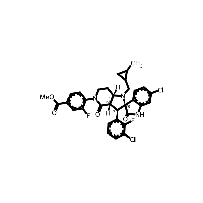 COC(=O)c1ccc(N2CC[C@H]3[C@@H](C2=O)[C@H](c2cccc(Cl)c2F)[C@]2(C(=O)Nc4cc(Cl)ccc42)N3CC2CC2C)c(F)c1